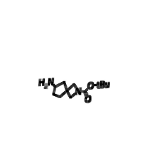 CC(C)(C)OC(=O)N1CC2(CCC(N)C2)C1